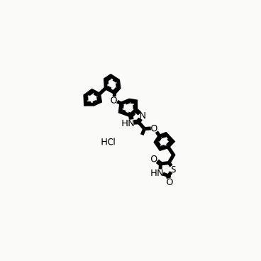 CC(Oc1ccc(CC2SC(=O)NC2=O)cc1)c1nc2ccc(Oc3ccccc3-c3ccccc3)cc2[nH]1.Cl